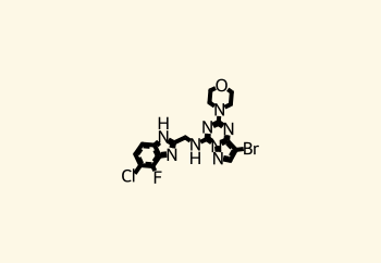 Fc1c(Cl)ccc2[nH]c(CNc3nc(N4CCOCC4)nc4c(Br)cnn34)nc12